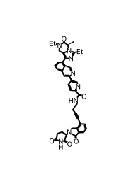 CCc1nc(-c2cccc3cc(-c4ccc(C(=O)NCCC#Cc5cccc6c5CN(C5CCC(=O)NC5=O)C6=O)nc4)ncc23)c2n1[C@H](C)C(=O)N(CC)C2